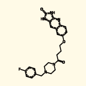 O=C(CCCOc1ccc2nc3[nH]c(=O)[nH]c3cc2c1)N1CCN(Cc2ccc(F)cc2)CC1